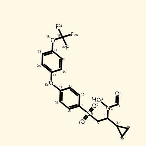 O=CN(O)C(CS(=O)(=O)c1ccc(Oc2ccc(OC(F)(F)F)cc2)cc1)C1CC1